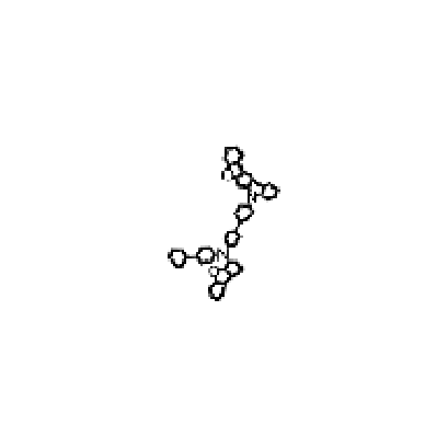 c1ccc(-c2ccc(N(c3ccc(-c4ccc(-n5c6ccccc6c6cc7c(cc65)oc5ccccc57)cc4)cc3)c3cccc4c3oc3ccccc34)cc2)cc1